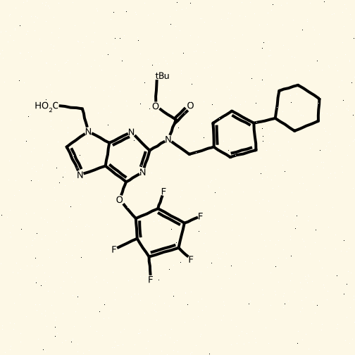 CC(C)(C)OC(=O)N(Cc1ccc(C2CCCCC2)cc1)c1nc(Oc2c(F)c(F)c(F)c(F)c2F)c2ncn(CC(=O)O)c2n1